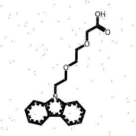 O=C(O)COCCOCCn1c2ccccc2c2ccccc21